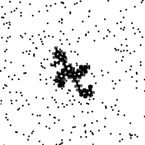 CCCC[N+]1=C(/C=C/C2=C(Oc3ccc(S(=O)(=O)O)cc3)C(=C/C=C3/N(CCCCCC(=O)ON4C(=O)CCC4=O)c4ccc(S(=O)(=O)O)cc4C3(C)C)/CCC2)C(C)(C)c2cc(C)ccc21